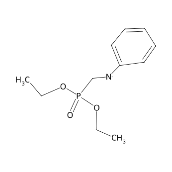 CCOP(=O)(C[N]c1ccccc1)OCC